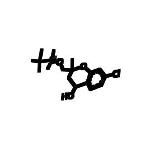 CC1(CO[Si](C)(C)C(C)(C)C)CC(O)c2ccc(Cl)cc2O1